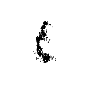 Cc1ncsc1-c1ccc(CNC(=O)[C@@H]2CCCN2C(=O)C(c2cc(OCCCCN3CCCN(c4nccc(C(=N)NC(=O)[C@@]5(C)CCCc6sc(N)c(N)c65)n4)[C@@H](C)C3)no2)C(C)C)cc1